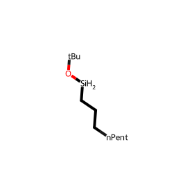 CCCCCCCC[SiH2]OC(C)(C)C